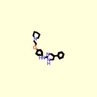 [CH]1NC(Nc2ccc(OCCN3CCCCC3)cc2)=NC=C1c1ccccc1